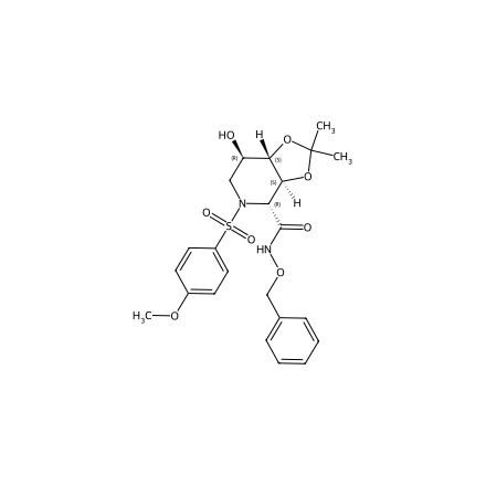 COc1ccc(S(=O)(=O)N2C[C@@H](O)[C@@H]3OC(C)(C)O[C@H]3[C@@H]2C(=O)NOCc2ccccc2)cc1